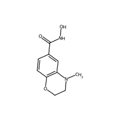 CN1CCOc2ccc(C(=O)NO)cc21